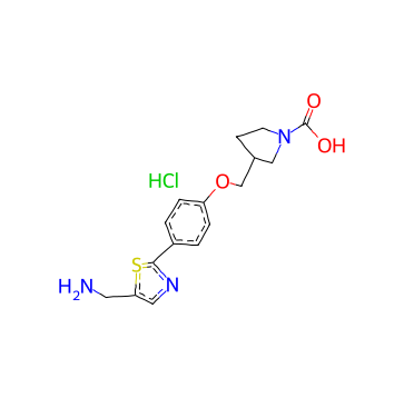 Cl.NCc1cnc(-c2ccc(OCC3CCN(C(=O)O)C3)cc2)s1